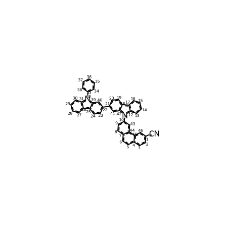 N#Cc1ccc2ccc3ccc(-n4c5ccccc5c5ccc(-c6ccc7c8ccccc8n(-c8ccccc8)c7c6)cc54)cc3c2c1